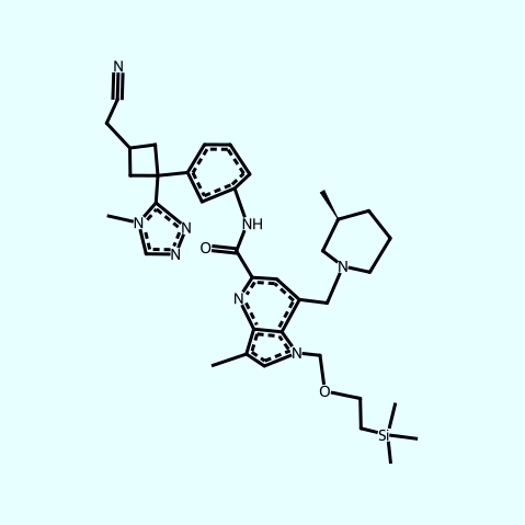 Cc1cn(COCC[Si](C)(C)C)c2c(CN3CCC[C@H](C)C3)cc(C(=O)Nc3cccc(C4(c5nncn5C)CC(CC#N)C4)c3)nc12